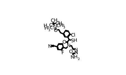 CC(C)(C)[Si](C)(C)OCCc1ccc(Cl)c(C(S)C(=O)N(Cc2nnc(N)o2)Cc2ccc(C#N)cc2F)c1